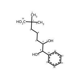 CC(C)(CCCC(O)C(O)c1ccccc1)C(=O)O